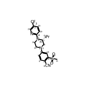 CC(C)[C@@H]1CN(c2ccc(C#N)c(S(C)(=O)=O)c2)CCN1c1ccc(C(F)(F)F)cn1